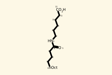 CCCCCCCCCCCC(=O)NCCCCCC(=O)O